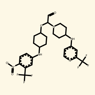 O=CC(OC1CCC(Nc2ccc([N+](=O)[O-])c(C(F)(F)F)c2)CC1)N1CCC(Nc2ccnc(C(F)(F)F)c2)CC1